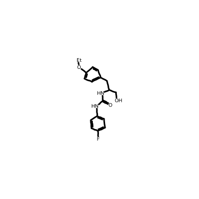 CCOc1ccc(CC(CO)NC(=O)Nc2ccc(F)cc2)cc1